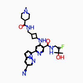 CN1CCC(C(=O)NCC2CC(Nc3cc(-c4ccc5cc(C#N)cnn45)ncc3C(=O)NC[C@@H](F)C(C)(C)O)C2)CC1